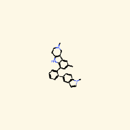 Cc1cc(-c2ccccc2-c2ccc3c(ccn3C)c2)c2[nH]c3c(c2c1)CN(C)CC3